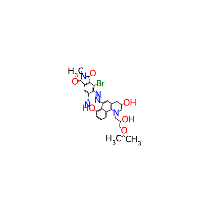 CC(C)OCC(O)CN1CC(O)Cc2cc(/N=N/c3c(C#N)cc4c(c3Br)C(=O)N(C)C4=O)c3c(O)cccc3c21